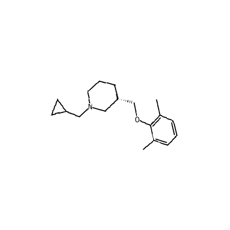 Cc1cccc(C)c1OC[C@H]1CCCN(CC2CC2)C1